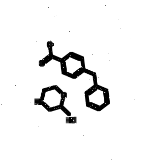 CC1CNCCO1.Cl.[O]C(=O)c1ccc(Cc2ccccc2)cc1